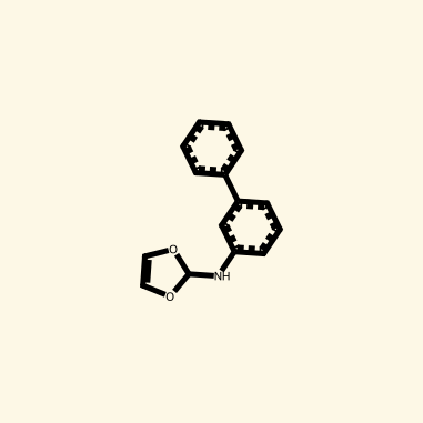 C1=COC(Nc2cccc(-c3ccccc3)c2)O1